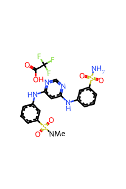 CNS(=O)(=O)c1cccc(Nc2cc(Nc3cccc(S(N)(=O)=O)c3)ncn2)c1.O=C(O)C(F)(F)F